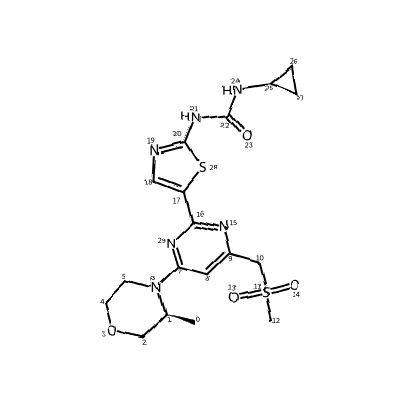 C[C@H]1COCCN1c1cc(CS(C)(=O)=O)nc(-c2cnc(NC(=O)NC3CC3)s2)n1